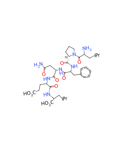 CC(C)CC(N)C(=O)N1CCC[C@H]1C(=O)NC(Cc1ccccc1)C(=O)NC(CC(N)=O)C(=O)NC(CCC(=O)O)C(=O)NC(CC(C)C)C(=O)O